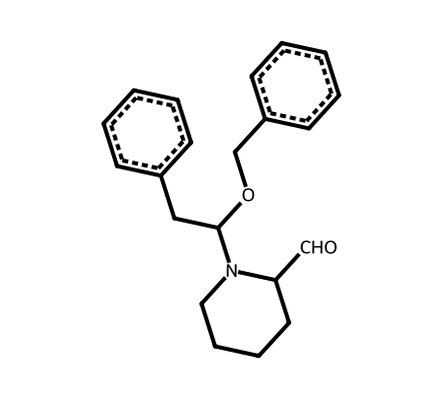 O=CC1CCCCN1C(Cc1ccccc1)OCc1ccccc1